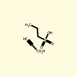 C#CC(=O)O.CCCS(=O)(=O)O